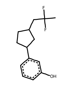 CC(F)(F)CC1CCC(c2cccc(O)c2)C1